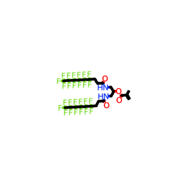 C=C(C)C(=O)OC(CNC(=O)CCC(F)(F)C(F)(F)C(F)(F)C(F)(F)C(F)(F)C(F)(F)F)CNC(=O)CCC(F)(F)C(F)(F)C(F)(F)C(F)(F)C(F)(F)C(F)(F)F